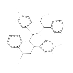 C[n+]1ccc(C(CC(CC(c2ccccc2)C(C)(C)C)c2cc[n+](C)cc2)CC(CC(C)(C)C)c2ccncc2)cc1